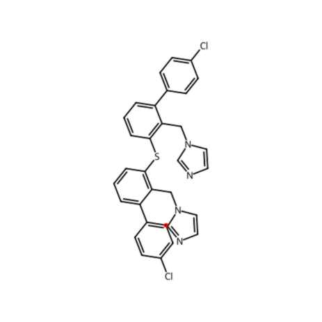 Clc1ccc(-c2cccc(Sc3cccc(-c4ccc(Cl)cc4)c3Cn3ccnc3)c2Cn2ccnc2)cc1